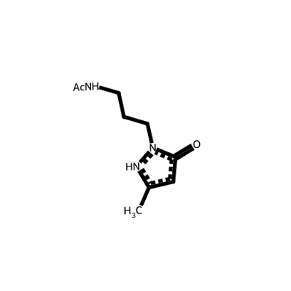 CC(=O)NCCCn1[nH]c(C)cc1=O